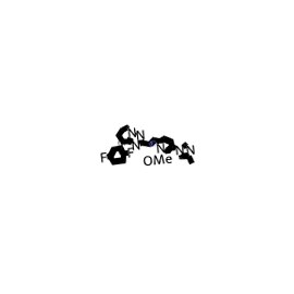 COc1nc(/C=C/c2nc3n(n2)CCC[C@H]3c2cc(F)ccc2F)ccc1-n1cnc(C)c1